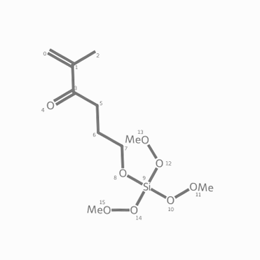 C=C(C)C(=O)CCCO[Si](OOC)(OOC)OOC